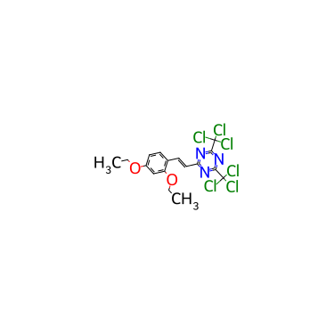 CCOc1ccc(C=Cc2nc(C(Cl)(Cl)Cl)nc(C(Cl)(Cl)Cl)n2)c(OCC)c1